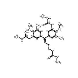 COC(=O)CCCC=C(c1cc(C)c(OC)c(CC(=O)OC)c1)c1cc(C)c(OC)c(CC(=O)OC)c1